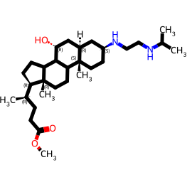 COC(=O)CC[C@@H](C)[C@H]1CCC2C3C(CC[C@@]21C)[C@@]1(C)CC[C@H](NCCNC(C)C)C[C@@H]1C[C@H]3O